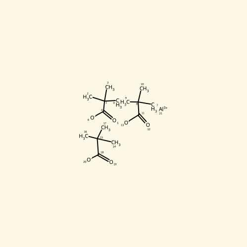 CC(C)(C)C(=O)[O-].CC(C)(C)C(=O)[O-].CC(C)(C)C(=O)[O-].[Al+3]